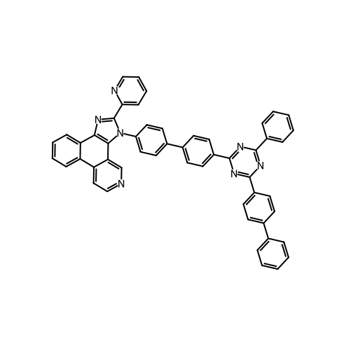 c1ccc(-c2ccc(-c3nc(-c4ccccc4)nc(-c4ccc(-c5ccc(-n6c(-c7ccccn7)nc7c8ccccc8c8ccncc8c76)cc5)cc4)n3)cc2)cc1